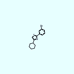 Brc1cccc(-c2nc(C3CCCCC3)cs2)c1